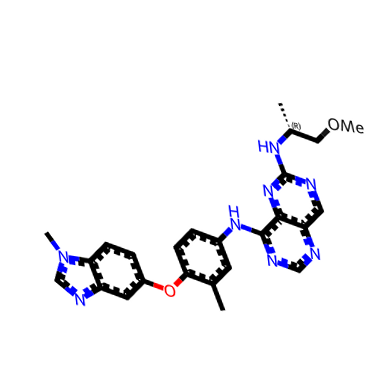 COC[C@@H](C)Nc1ncc2ncnc(Nc3ccc(Oc4ccc5c(c4)ncn5C)c(C)c3)c2n1